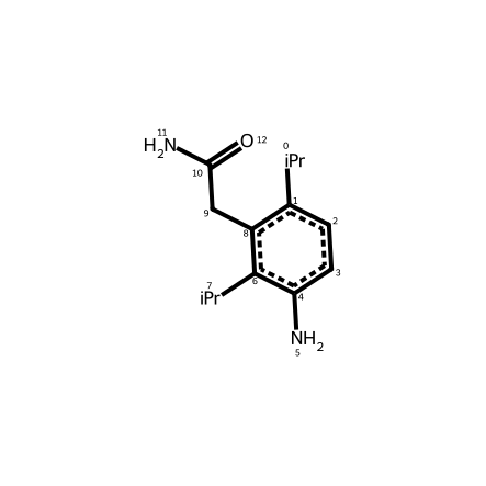 CC(C)c1ccc(N)c(C(C)C)c1CC(N)=O